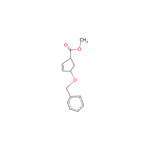 COC(=O)C1C=CC(OCc2ccccc2)C1